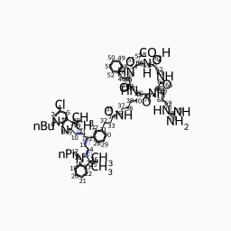 CCCC[n+]1cc(Cl)cc2c1N=C(/C=C/C(=C/C=C1\N(CCC)c3ccccc3C1(C)C)c1cccc(CCC(=O)NCCCC[C@@H]3NC(=O)[C@@H](Cc4ccccc4)NC(=O)[C@H](CC(=O)O)NC(=O)CNC(=O)[C@H](CCCNC(=N)N)NC3=O)c1)C2(C)C